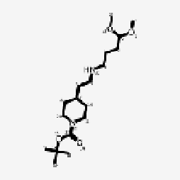 COC(CCCNCCC1CCN(C(=O)OC(C)(C)C)CC1)OC